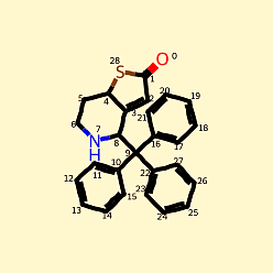 O=C1C=C2C(CCNC2C(c2ccccc2)(c2ccccc2)c2ccccc2)S1